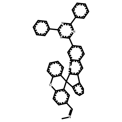 C/N=C\c1ccc2c(c1)C1(c3ccccc3O2)c2ccccc2-c2cc3ccc(-c4nc(-c5ccccc5)nc(-c5ccccc5)n4)cc3cc21